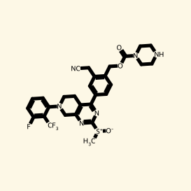 C[S+]([O-])c1nc2c(c(-c3ccc(COC(=O)N4CCNCC4)c(CC#N)c3)n1)CCN(c1cccc(F)c1C(F)(F)F)C2